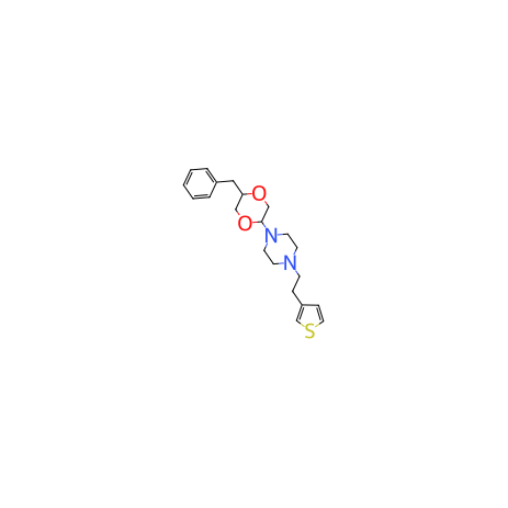 c1ccc(CC2COC(N3CCN(CCc4ccsc4)CC3)CO2)cc1